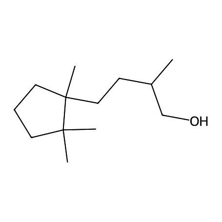 CC(CO)CCC1(C)CCCC1(C)C